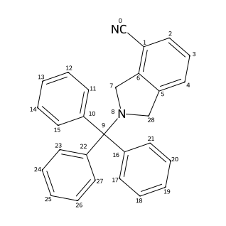 N#Cc1cccc2c1CN(C(c1ccccc1)(c1ccccc1)c1ccccc1)C2